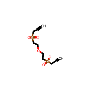 C#CCS(=O)(=O)CCOCCS(=O)(=O)CC#C